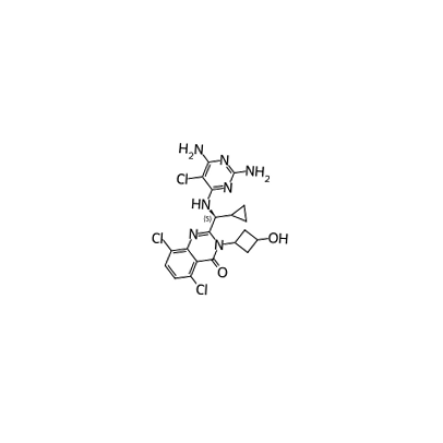 Nc1nc(N)c(Cl)c(N[C@H](c2nc3c(Cl)ccc(Cl)c3c(=O)n2C2CC(O)C2)C2CC2)n1